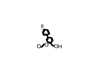 COCCOc1cc(-c2ccc(F)cc2)ccc1CO